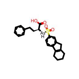 O=C(O)[C@H](CCc1ccccc1)[AsH]S(=O)(=O)c1ccc2c(c1)CC1=C2CCCC1